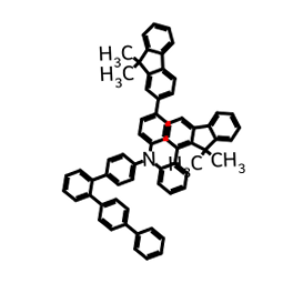 CC1(C)c2ccccc2-c2ccc(-c3ccc(N(c4ccc(-c5ccccc5-c5ccc(-c6ccccc6)cc5)cc4)c4ccccc4-c4cccc5c4C(C)(C)c4ccccc4-5)cc3)cc21